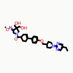 CCc1cnc(N2CCC(COc3ccc(C4=CCC(C(=O)N5C/C(=N\OC)C(CO)(CO)C5)CC4)cc3)CC2)nc1